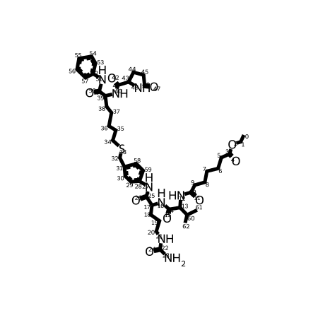 CCOC(=O)CCCCCC(=O)NC(C(=O)NC(CCCNC(N)=O)C(=O)Nc1ccc(CSCCCCCC(NC(=O)C2CCC(=O)N2)C(=O)Nc2ccccc2)cc1)C(C)C